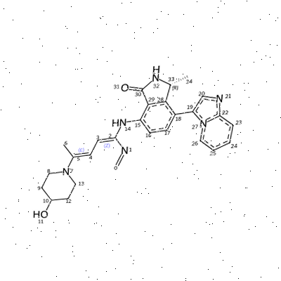 C=N/C(=C\C=C(/C)N1CCC(O)CC1)Nc1ccc(-c2cnc3ccccn23)c2c1C(=O)N[C@@H]2C